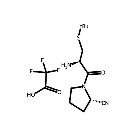 CC(C)(C)SC[C@H](N)C(=O)N1CCC[C@H]1C#N.O=C(O)C(F)(F)F